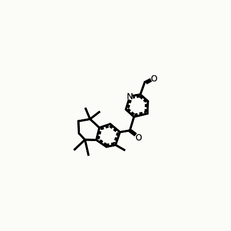 Cc1cc2c(cc1C(=O)c1ccc(C=O)nc1)C(C)(C)CCC2(C)C